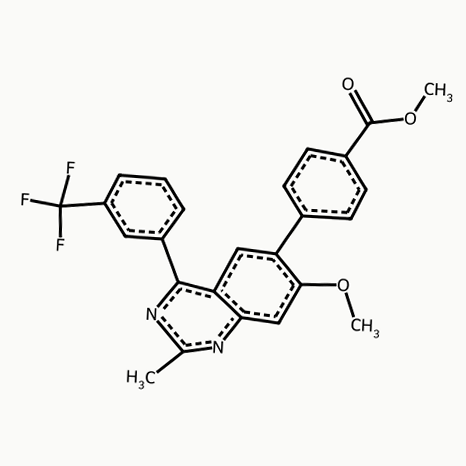 COC(=O)c1ccc(-c2cc3c(-c4cccc(C(F)(F)F)c4)nc(C)nc3cc2OC)cc1